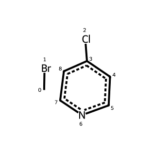 CBr.Clc1ccncc1